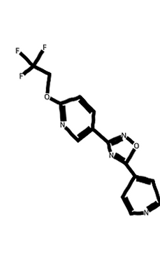 FC(F)(F)COc1ccc(-c2noc(-c3ccncc3)n2)cn1